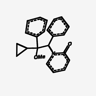 COC(c1ccccc1)(C1CC1)C(c1ccccc1)n1ccccc1=O